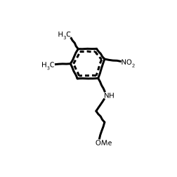 COCCNc1cc(C)c(C)cc1[N+](=O)[O-]